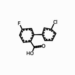 O=C(O)c1ccc(F)cc1-c1cccc(Cl)c1